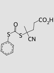 CC(C#N)(CCC(=O)O)SC(=O)Sc1ccccc1